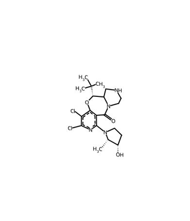 C[C@H]1[C@@H](O)CCN1c1nc(Cl)c(Cl)c2c1C(=O)N1CCNCC1[C@@H](C(C)(C)C)O2